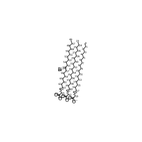 CCCCCCCCCCCCCCCCCCSCC(=O)[O-].CCCCCCCCCCCCCCCCCCSCC(=O)[O-].CCCCCCCCCCCCCCCCCCSCC(=O)[O-].[Bi+3]